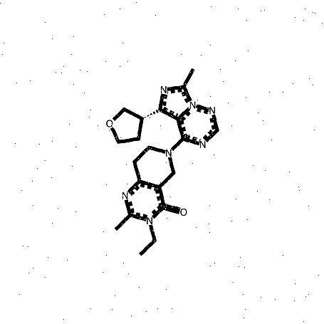 CCn1c(C)nc2c(c1=O)CN(c1ncnn3c(C)nc([C@@H]4CCOC4)c13)CC2